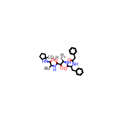 CCC(C)C(NC(=O)C(=O)C(C)NC(=O)C(Cc1ccccc1)NC(=O)Cc1ccccc1)C(=O)NC1(C(=O)O)CCCC1